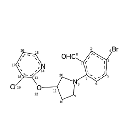 O=Cc1cc(Br)ccc1N1CCC(Oc2ncccc2Cl)C1